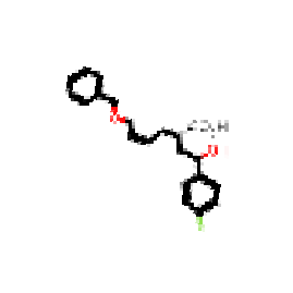 O=C(O)[C@@H](C/C=C\COCc1ccccc1)C[C@@H](O)c1ccc(F)cc1